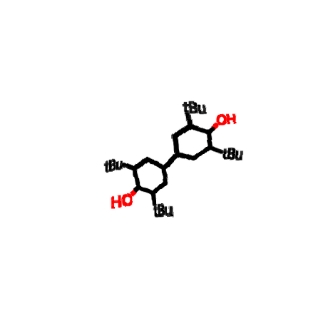 CC(C)(C)C1CC(C2CC(C(C)(C)C)C(O)C(C(C)(C)C)C2)CC(C(C)(C)C)C1O